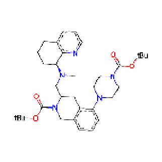 CN(CC1Cc2c(cccc2N2CCN(C(=O)OC(C)(C)C)CC2)CN1C(=O)OC(C)(C)C)[C@H]1CCCc2cccnc21